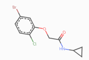 O=C(COc1cc(Br)ccc1Cl)NC1CC1